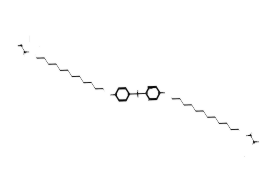 C=C(C)C(=O)OCCCCCCCCCCCCOc1ccc(C(C)(C)c2ccc(OCCCCCCCCCCCCOC(=O)C(=C)C)cc2)cc1